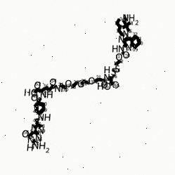 CCCCc1nc2c(NC(=O)OCCSSC[C@H](NC(=O)CCOCCOCCOCCNC(=O)CCC(NC(=O)c3ccc(NCc4cnc5nc(N)[nH]c(=O)c5n4)cc3)C(=O)O)C(=O)O)nc3ccccc3c2n1CC(C)(C)CN